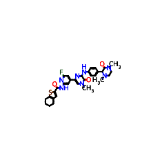 CN1CCN(C)C(c2ccc(Nc3nc(-c4cc(F)nc(NC(=O)c5cc6c(s5)CCCC6)c4)cn(C)c3=O)cc2)C1=O